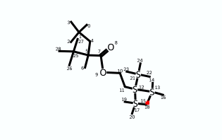 CC(C)(C)CC(C)(C(=O)OCCS(S(C)(C)C)(S(C)(C)C)S(C)(C)C)C(C)(C)C